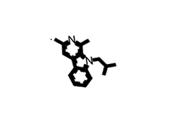 [CH2]c1cc2c3ccccc3n(CC(C)C)c2c(C)n1